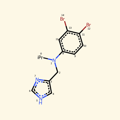 CC(C)N(Cc1c[nH]cn1)c1ccc(Br)c(Br)c1